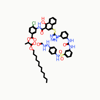 CCCCCCCCCCCCOC(=O)C(C)OC(=O)c1ccc(Cl)c(NC(=O)c2cc(Sc3nnnn3-c3cccc(NC(=O)Nc4cccc(S(=O)(=O)Nc5ccc(NNC=O)cc5)c4)c3)c3ccccc3c2O)c1